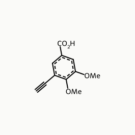 C#Cc1cc(C(=O)O)cc(OC)c1OC